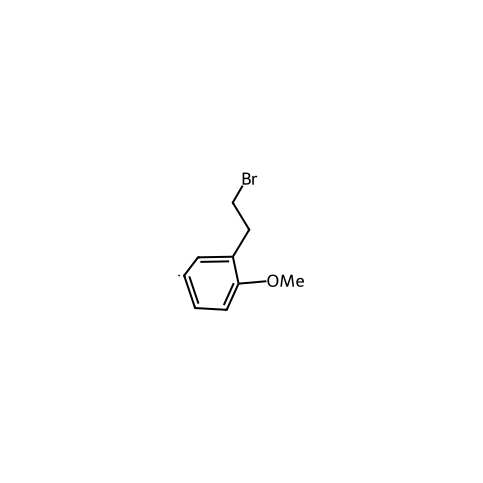 COc1cc[c]cc1CCBr